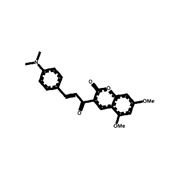 COc1cc(OC)c2cc(C(=O)C=Cc3ccc(N(C)C)cc3)c(=O)oc2c1